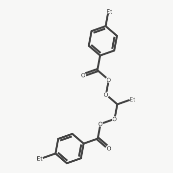 [CH2]C[C](OOC(=O)c1ccc(CC)cc1)OOC(=O)c1ccc(CC)cc1